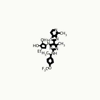 CC[C@H]1C[C@@H](Nc2nc(N[C@H](C)c3ccc(OC(F)(F)F)cc3)nc(C)c2-c2nc3c(C)nccc3s2)[C@H](O)[C@@H]1O